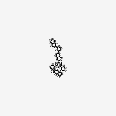 c1ccc(-c2nc(-c3ccc4cc(-c5cccc(-c6ccc7ccccc7c6)c5)ccc4c3)nc(-c3cccc4oc5cc6ccccc6cc5c34)n2)cc1